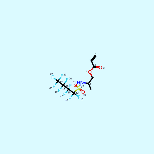 C=CC(=O)OCC(C)NS(=O)(=O)C(F)(F)C(F)(F)C(F)(F)C(F)(F)F